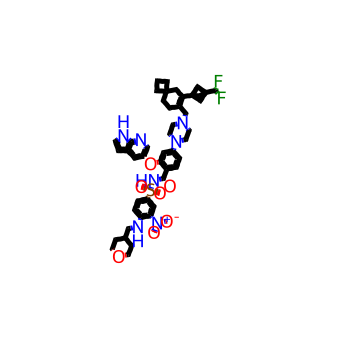 O=C(NS(=O)(=O)c1ccc(NCC2CCOCC2)c([N+](=O)[O-])c1)c1ccc(N2CCN(CC3=C(C45CC(C(F)F)(C4)C5)CC4(CCC4)CC3)CC2)cc1Oc1cnc2[nH]ccc2c1